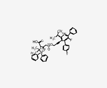 CC(C)c1nc(-c2ccccc2)c(F)c(-c2ccc(F)cc2)c1C#CCO[PH](=O)CC(CC(=O)O)O[Si](c1ccccc1)(c1ccccc1)C(C)(C)C